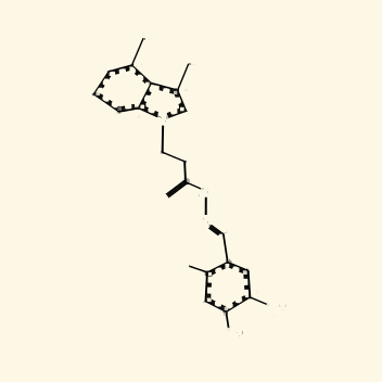 COc1cc(F)c(C=NNC(=O)CCn2cc(C)c3c(C)cccc32)cc1OC